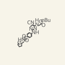 CCCCOC(=O)CNc1nc(Nc2ccc(S(=O)(=O)NCC3CCCO3)cc2)ncc1C#N